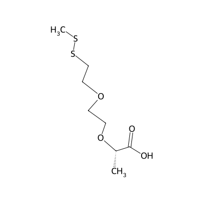 CSSCCOCCO[C@@H](C)C(=O)O